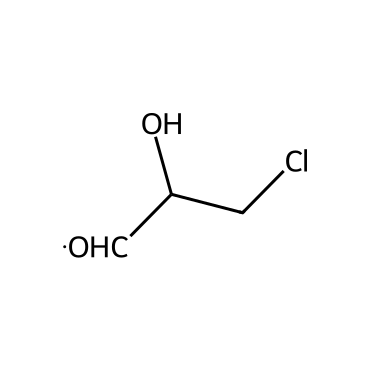 O=[C]C(O)CCl